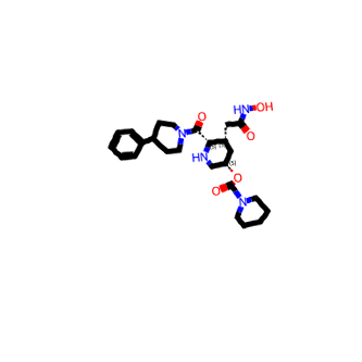 O=C(C[C@@H]1C[C@H](OC(=O)N2CCCCC2)CN[C@@H]1C(=O)N1CCC(c2ccccc2)CC1)NO